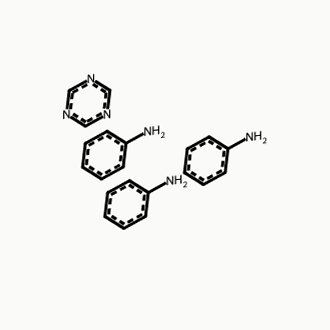 Nc1ccccc1.Nc1ccccc1.Nc1ccccc1.c1ncncn1